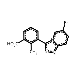 Cc1c(C(=O)O)cccc1-c1nnc2ccc(Br)cn12